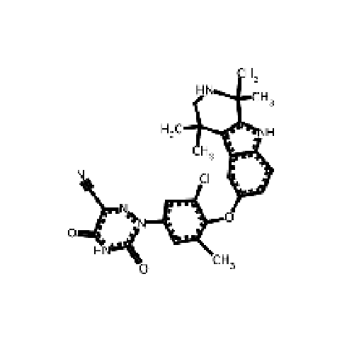 Cc1cc(-n2nc(C#N)c(=O)[nH]c2=O)cc(Cl)c1Oc1ccc2[nH]c3c(c2c1)C(C)(C)CNC3(C)C